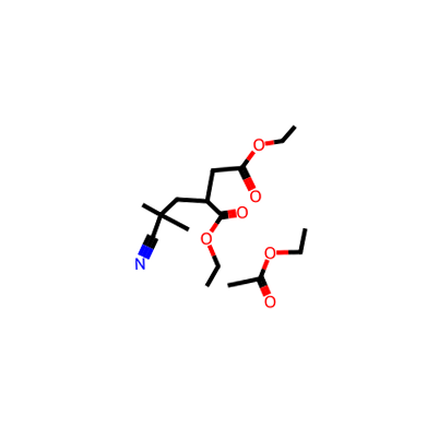 CCOC(=O)CC(CC(C)(C)C#N)C(=O)OCC.CCOC(C)=O